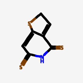 S=C1C=C2SCC=C2C(=S)N1